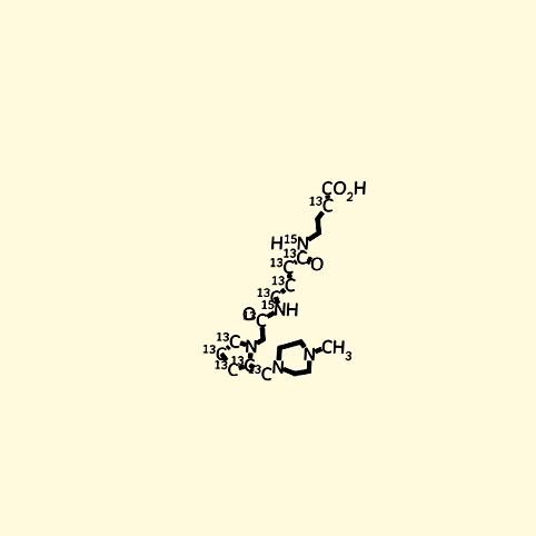 CN1CCN([13CH2][13CH]2[13CH2][13CH2][13CH2]N2C[13C](=O)[15NH][13CH2][13CH2][13CH2][13C](=O)[15NH]CC[13CH2][13C](=O)O)CC1